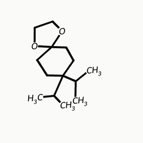 CC(C)C1(C(C)C)CCC2(CC1)OCCO2